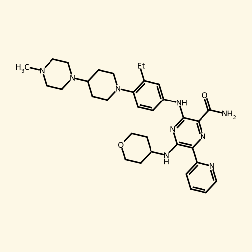 CCc1cc(Nc2nc(NC3CCOCC3)c(-c3ccccn3)nc2C(N)=O)ccc1N1CCC(N2CCN(C)CC2)CC1